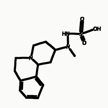 CN(NS(=O)(=O)O)C1CCN2CCc3ccccc3C2C1